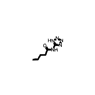 CCCCC(=O)Nc1nnn[nH]1